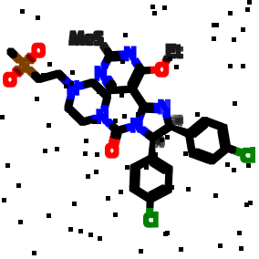 CCOc1nc(SC)ncc1C1=N[C@@H](c2ccc(Cl)cc2)[C@@H](c2ccc(Cl)cc2)N1C(=O)N1CCN(CCS(C)(=O)=O)CC1